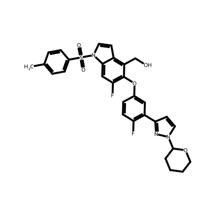 Cc1ccc(S(=O)(=O)n2ccc3c(CO)c(Oc4ccc(F)c(-c5ccn(C6CCCCO6)n5)c4)c(F)cc32)cc1